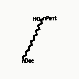 CCCCCCCCCCCCCCCCCCCCCCCCC(O)CCCCC